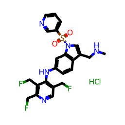 CNCc1cn(S(=O)(=O)c2cccnc2)c2cc(Nc3c(CF)cnc(CF)c3CF)ccc12.Cl